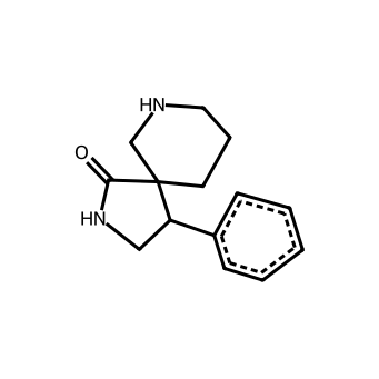 O=C1NCC(c2ccccc2)C12CCCNC2